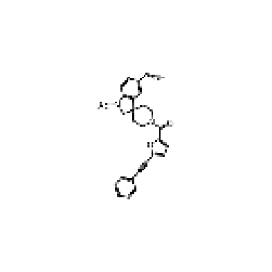 CC(=O)N1CC2(CCN(C(=O)c3ccc(C#Cc4ccccc4)o3)CC2)c2cc(C=N)ccc21